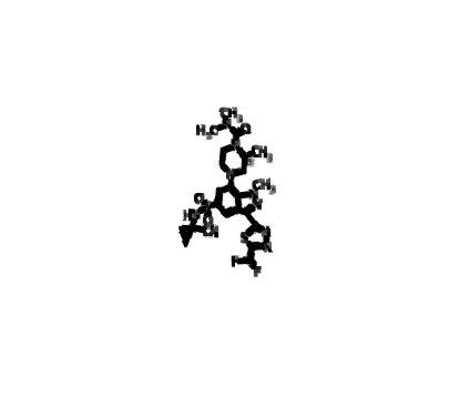 C[C@H]1CN(c2cc(S(=O)(=O)NC3(C#N)CC3)cc3c(-c4nnc(C(F)F)s4)nn(C)c23)CCN1C(=O)N(C)C